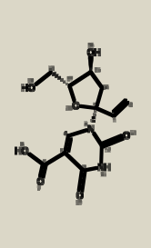 C=C[C@]1(n2cc(C(=O)O)c(=O)[nH]c2=O)C[C@H](O)[C@@H](CO)O1